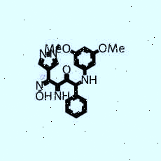 COc1cc(NC(C(=O)C(=N)/C(=N\O)c2cnn(C)c2)c2ccccc2)cc(OC)c1